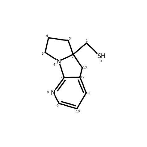 SCC12CCCN1c1ncccc1C2